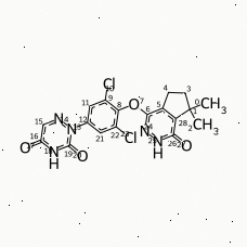 CC1(C)CCc2c(Oc3c(Cl)cc(-n4ncc(=O)[nH]c4=O)cc3Cl)n[nH]c(=O)c21